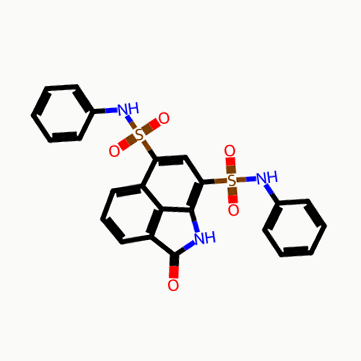 O=C1Nc2c(S(=O)(=O)Nc3ccccc3)cc(S(=O)(=O)Nc3ccccc3)c3cccc1c23